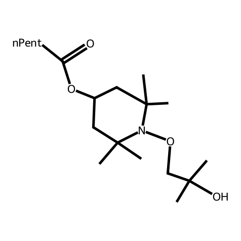 CCCCCC(=O)OC1CC(C)(C)N(OCC(C)(C)O)C(C)(C)C1